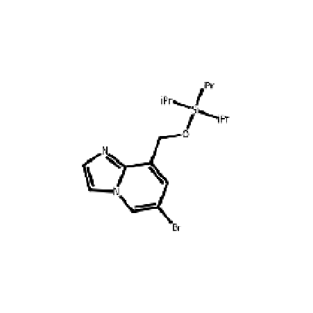 CC(C)[Si](OCc1cc(Br)cn2ccnc12)(C(C)C)C(C)C